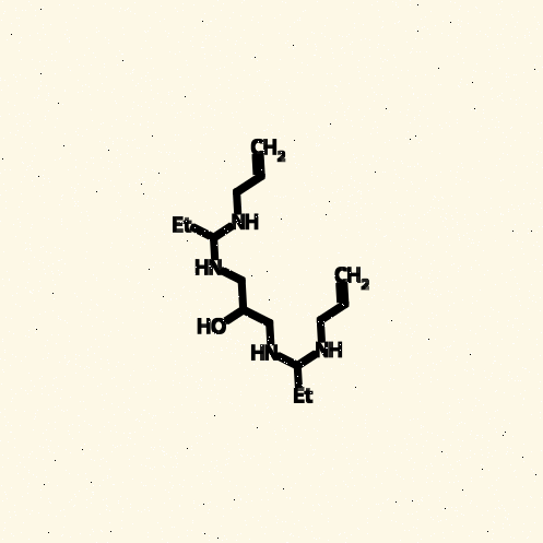 C=CCNC(CC)NCC(O)CNC(CC)NCC=C